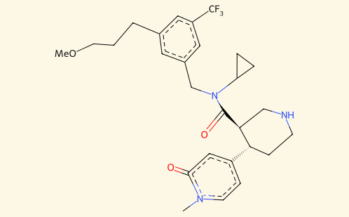 COCCCc1cc(CN(C(=O)[C@H]2CNCC[C@@H]2c2ccn(C)c(=O)c2)C2CC2)cc(C(F)(F)F)c1